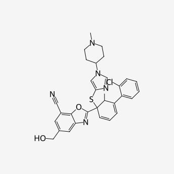 CC1C(c2ccccc2Cl)=CC=CC1(Sc1cn(C2CCN(C)CC2)cn1)c1nc2cc(CO)cc(C#N)c2o1